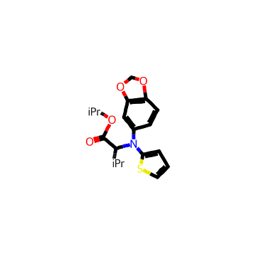 CC(C)OC(=O)C(C(C)C)N(c1ccc2c(c1)OCO2)c1cccs1